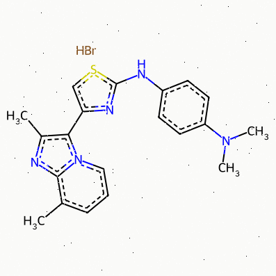 Br.Cc1nc2c(C)cccn2c1-c1csc(Nc2ccc(N(C)C)cc2)n1